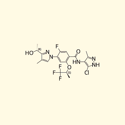 Cc1cn(-c2cc(O[C@@H](C)C(F)(F)F)c(C(=O)Nc3c(C)n[nH]c3Cl)cc2F)nc1[C@@H](C)O